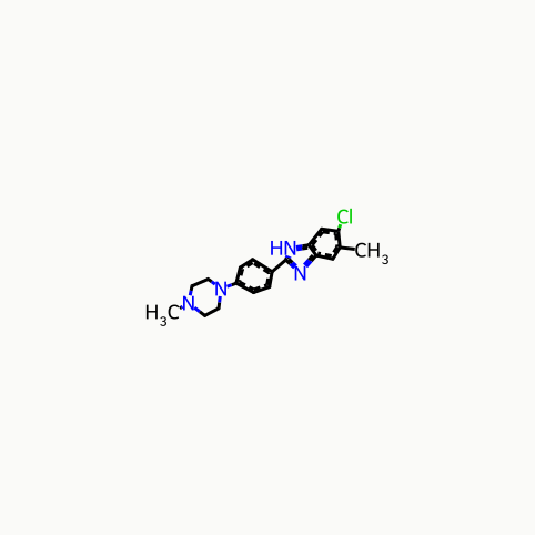 Cc1cc2nc(-c3ccc(N4CCN(C)CC4)cc3)[nH]c2cc1Cl